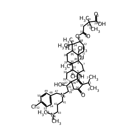 CC(C)C1=C2[C@H]3CC[C@@H]4[C@@]5(C)CC[C@H](OC(=O)CC(C)(C)C(=O)O)C(C)(C)[C@@H]5CC[C@@]4(C)[C@]3(C)CC[C@@]2([C@H](O)CN(CCCN(C)C)Cc2ccc(Cl)cc2)CC1=O